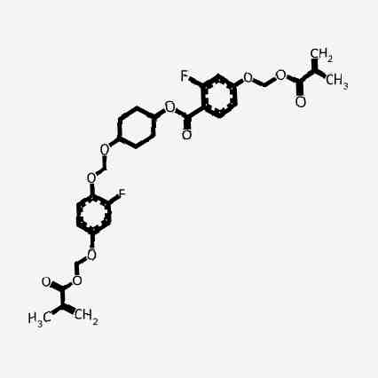 C=C(C)C(=O)OCOc1ccc(OCOC2CCC(OC(=O)c3ccc(OCOC(=O)C(=C)C)cc3F)CC2)c(F)c1